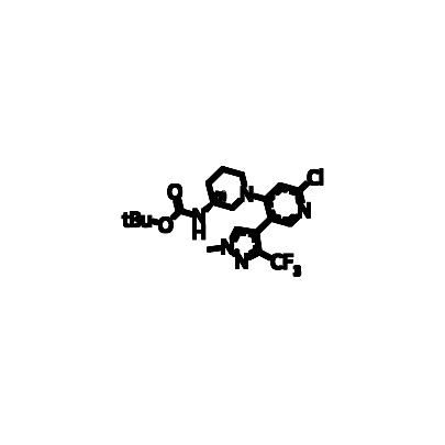 Cn1cc(-c2cnc(Cl)cc2N2CCC[C@H](NC(=O)OC(C)(C)C)C2)c(C(F)(F)F)n1